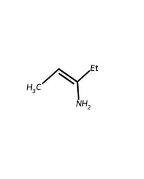 [CH2]CC(N)=CC